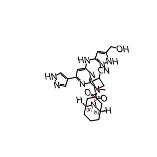 CN(c1nc(Nc2cc(CO)[nH]n2)cc(-c2cn[nH]c2)n1)[C@@H]1C[C@H]2CCC[C@@H](C1)N2S(=O)(=O)N1CC(C#N)C1